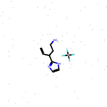 C=CC(CCN)c1ncc[nH]1.F[B-](F)(F)F